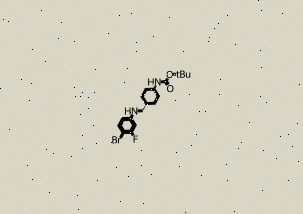 CC(C)(C)OC(=O)N[C@H]1CC[C@H](CNc2ccc(Br)c(F)c2)CC1